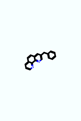 c1ccc(Cc2cnc3c(ccc4cccnc43)c2)cc1